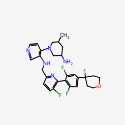 CC1CC(N)CN(c2ccncc2NCc2ccc(F)c(-c3c(F)cc(C4(F)CCOCC4)cc3F)n2)C1